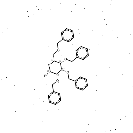 F[C@@H]1O[C@H](COCc2ccccc2)[C@H](OCc2ccccc2)[C@H](OCc2ccccc2)[C@@H]1OCc1ccccc1